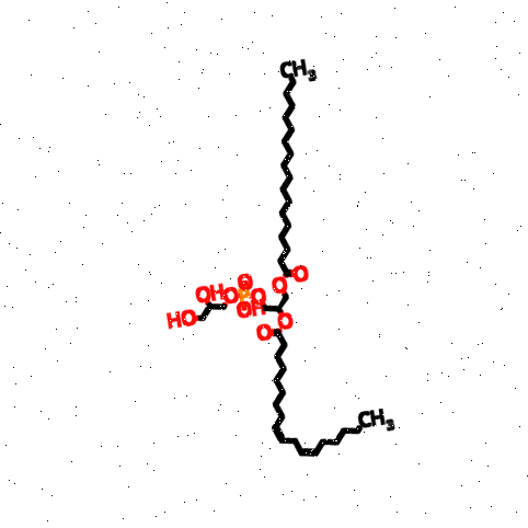 CCCCC/C=C\C/C=C\CCCCCCCC(=O)O[C@H](COC(=O)CCCCCCCCCCCCCCCCC)COP(=O)(O)OCC(O)CO